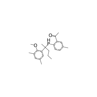 CCCC(C)(Pc1ccc(C)cc1C(C)=O)c1cc(C)cc(C)c1OC